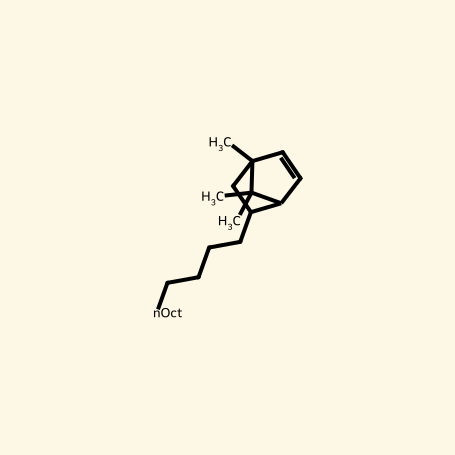 CCCCCCCCCCCCC1CC2(C)C=CC1C2(C)C